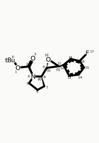 CC(C)(C)OC(=O)N1CCC[C@@H]1[C@@H]1O[C@H]1c1cccc(F)c1